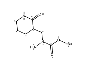 CC(C)(C)OC(=O)N(N)CC1CCCNC1=O